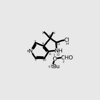 CC(C)(C)OC=O.CC1(C)c2cnccc2NC1Cl